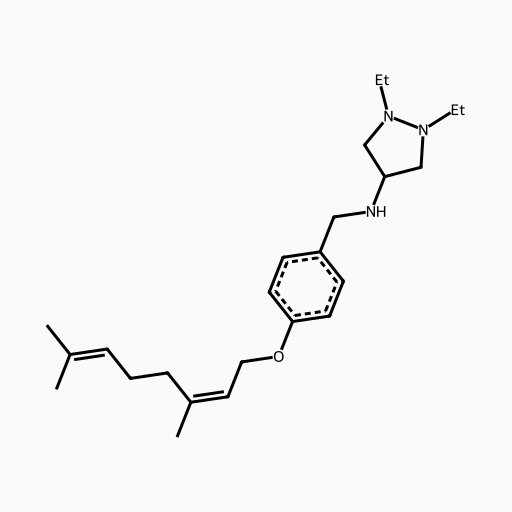 CCN1CC(NCc2ccc(OCC=C(C)CCC=C(C)C)cc2)CN1CC